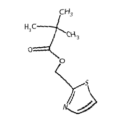 CC(C)(C)C(=O)OCc1nccs1